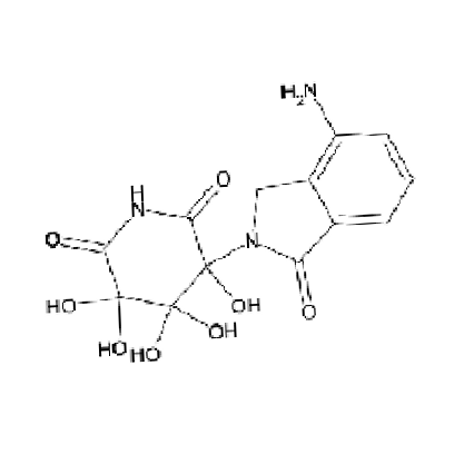 Nc1cccc2c1CN(C1(O)C(=O)NC(=O)C(O)(O)C1(O)O)C2=O